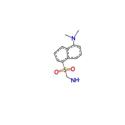 CN(C)c1cccc2c(S(=O)(=O)C[NH])cccc12